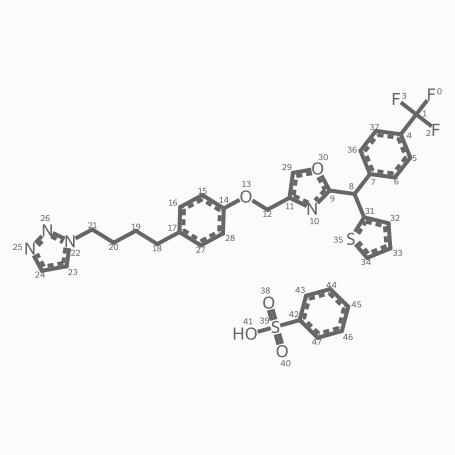 FC(F)(F)c1ccc(C(c2nc(COc3ccc(CCCCn4ccnn4)cc3)co2)c2cccs2)cc1.O=S(=O)(O)c1ccccc1